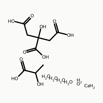 CC(O)C(=O)O.O.O.O.O.O.O=C(O)CC(O)(CC(=O)O)C(=O)O.[CaH2]